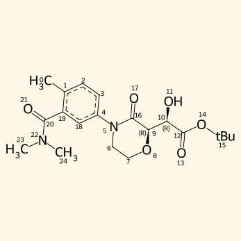 Cc1ccc(N2CCO[C@H]([C@@H](O)C(=O)OC(C)(C)C)C2=O)cc1C(=O)N(C)C